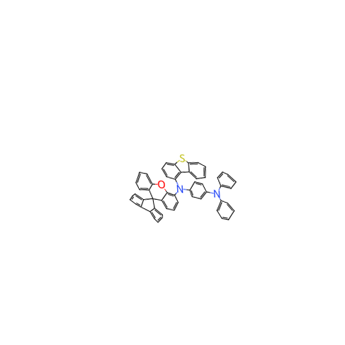 c1ccc(N(c2ccccc2)c2ccc(N(c3cccc4c3Oc3ccccc3C43c4ccccc4-c4ccccc43)c3cccc4sc5ccccc5c34)cc2)cc1